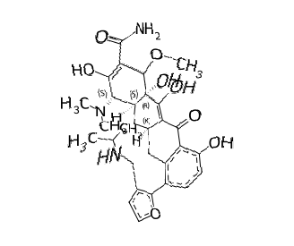 COC1C(C(N)=O)=C(O)[C@@H](N(C)C)[C@@H]2C[C@@H]3Cc4c(-c5occc5CNC(C)C)ccc(O)c4C(=O)C3=C(O)[C@]12O